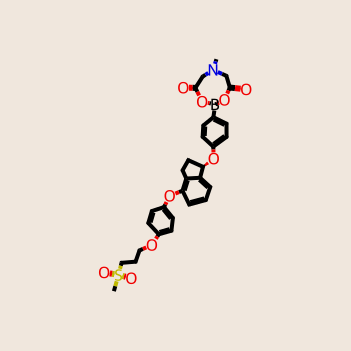 CN1CC(=O)OB(c2ccc(O[C@@H]3CCc4c(Oc5ccc(OCCCS(C)(=O)=O)cc5)cccc43)cc2)OC(=O)C1